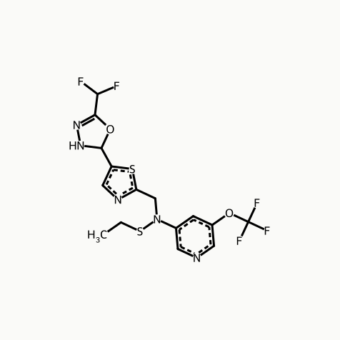 CCSN(Cc1ncc(C2NN=C(C(F)F)O2)s1)c1cncc(OC(F)(F)F)c1